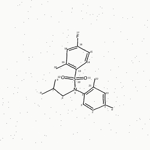 Cc1ccc(N(CC(C)C)S(=O)(=O)c2ccc(F)cc2C)c(C)c1